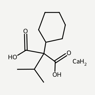 CC(C)C(C(=O)O)(C(=O)O)C1CCCCC1.[CaH2]